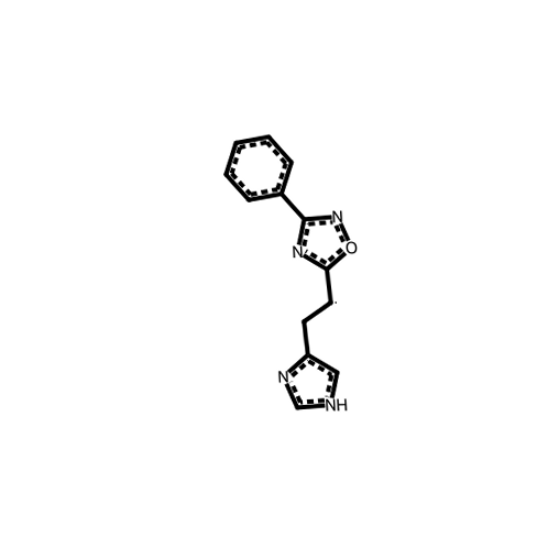 [CH](Cc1c[nH]cn1)c1nc(-c2ccccc2)no1